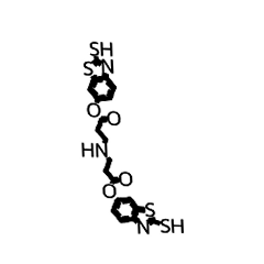 O=C(CCNCCC(=O)Oc1ccc2nc(S)sc2c1)Oc1ccc2nc(S)sc2c1